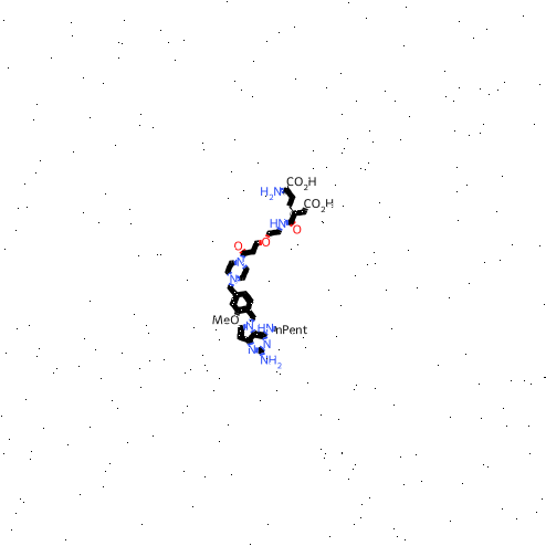 CCCCCNc1nc(N)nc2ccn(Cc3ccc(CN4CCN(C(=O)CCOCCNC(=O)[C@H](CC[C@H](N)C(=O)O)CC(=O)O)CC4)cc3OC)c12